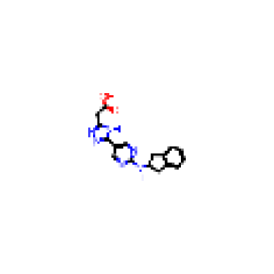 O=C(O)Cc1nnc(-c2cnc(NC3Cc4ccccc4C3)nc2)[nH]1